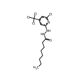 CCCCCCCC(=O)NNc1cc(C(Cl)(Cl)Cl)cc(Cl)n1